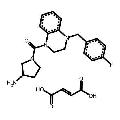 NC1CCN(C(=O)N2CCN(Cc3ccc(F)cc3)c3ccccc32)C1.O=C(O)/C=C/C(=O)O